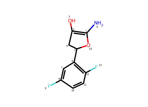 NC1=C(O)CC(c2cc(F)ccc2F)O1